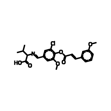 COc1cccc(/C=C/C(=O)Oc2c(Cl)cc(/C=N/C(C(=O)O)C(C)C)cc2OC)c1